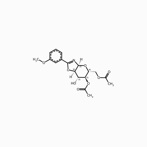 COc1cccc(C2=N[C@H]3O[C@H](COC(C)=O)[C@@H](OC(C)=O)[C@H](O)[C@H]3O2)c1